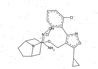 N/C(=N\O)N1C2CCC1CC(OCc1c(-c3c(Cl)cccc3Cl)noc1C1CC1)C2